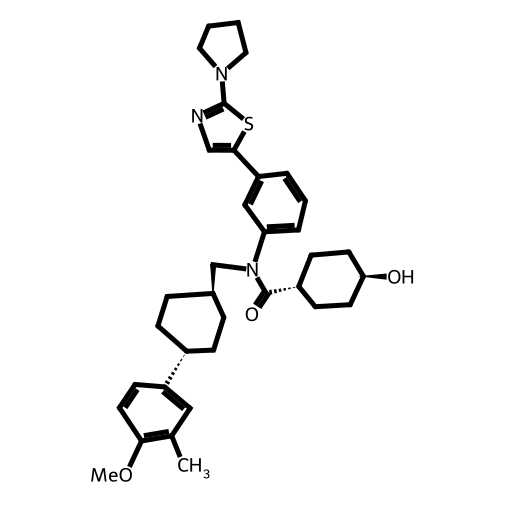 COc1ccc([C@H]2CC[C@H](CN(c3cccc(-c4cnc(N5CCCC5)s4)c3)C(=O)[C@H]3CC[C@H](O)CC3)CC2)cc1C